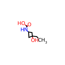 CCC1(O)CC(NC(=O)O)C1